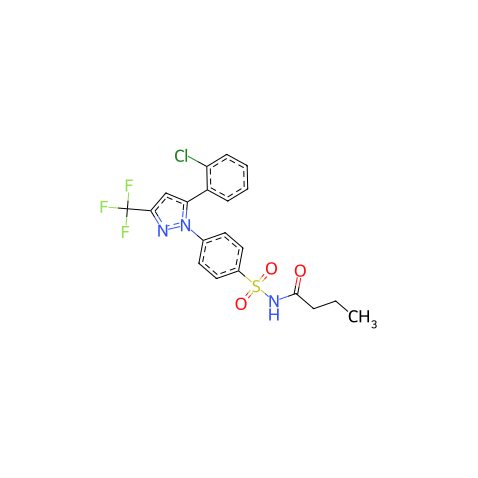 CCCC(=O)NS(=O)(=O)c1ccc(-n2nc(C(F)(F)F)cc2-c2ccccc2Cl)cc1